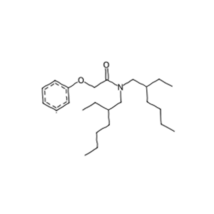 CCCCC(CC)CN(CC(CC)CCCC)C(=O)COc1c[c]ccc1